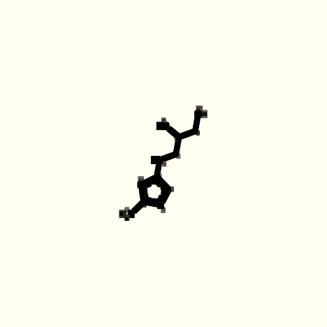 Nc1ncc(NCC(O)CO)o1